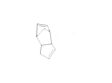 C1=CC2C3C=CC(C3)C2C1.Cl.Cl.[Zr]